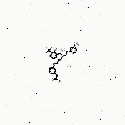 Cc1ccnc(C(C)CN(CCCOc2cccc(CC(=O)O)c2)Cc2cccc(C(F)(F)F)c2Cl)c1.Cl